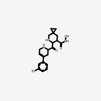 CCc1cccc(C2=CCNC(C(=O)C3NCC4(CC4)CC3C(=O)NO)C2)c1